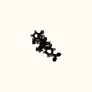 CC(C)(C)OC(=O)N1[C@@H]2CC[C@H]1C[C@H](OC(=O)c1ccc([N+](=O)[O-])cc1)C2